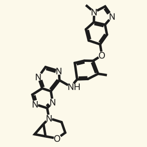 Cc1cc(Nc2ncnc3cnc(N4CCOC5CC54)nc23)ccc1Oc1ccc2c(c1)ncn2C